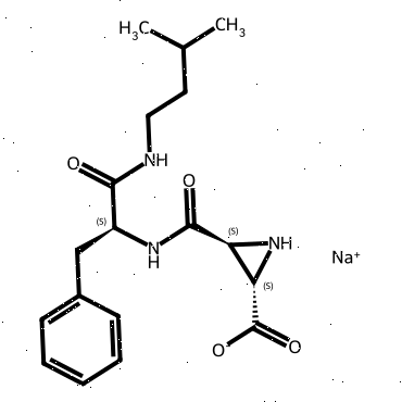 CC(C)CCNC(=O)[C@H](Cc1ccccc1)NC(=O)[C@H]1N[C@@H]1C(=O)[O-].[Na+]